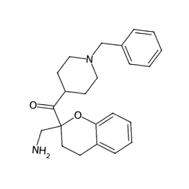 NCC1(C(=O)C2CCN(Cc3ccccc3)CC2)CCc2ccccc2O1